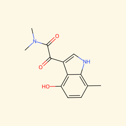 Cc1ccc(O)c2c(C(=O)C(=O)N(C)C)c[nH]c12